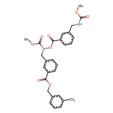 Cc1cccc(COC(=O)c2cccc(CN(OC(=O)c3cccc(CNC(=O)OC(C)(C)C)c3)C(=O)OC(C)(C)C)c2)c1